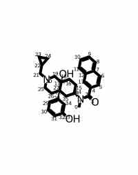 CN(C(=O)c1ccc2ccccc2c1)[C@@H]1CC[C@]2(O)CN(CC3CC3)CC[C@@]2(c2cccc(O)c2)C1